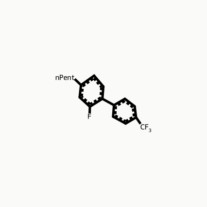 CCCCCc1ccc(-c2ccc(C(F)(F)F)cc2)c(F)c1